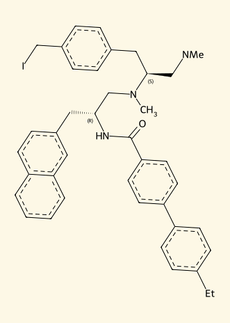 CCc1ccc(-c2ccc(C(=O)N[C@H](Cc3ccc4ccccc4c3)CN(C)[C@H](CNC)Cc3ccc(CI)cc3)cc2)cc1